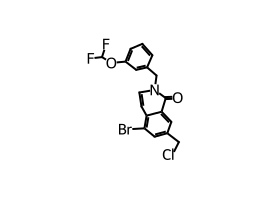 O=c1c2cc(CCl)cc(Br)c2ccn1Cc1cccc(OC(F)F)c1